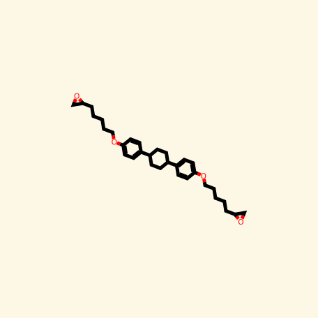 c1cc(C2CCC(c3ccc(OCCCCCC4CO4)cc3)CC2)ccc1OCCCCCC1CO1